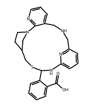 O=C(O)c1ccccc1C1Nc2cccc(n2)CNCc2cccnc2N2CCC(CS1)C2